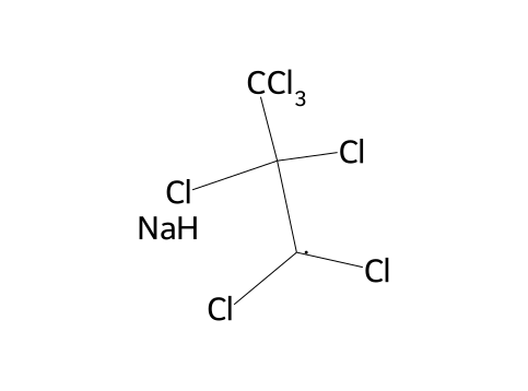 Cl[C](Cl)C(Cl)(Cl)C(Cl)(Cl)Cl.[NaH]